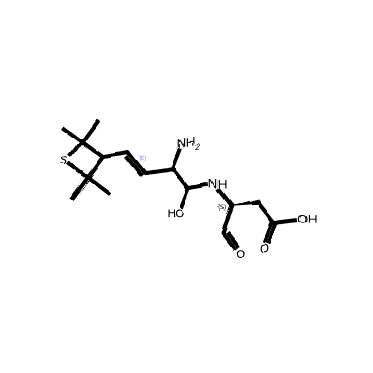 CC1(C)SC(C)(C)C1/C=C/C(N)C(O)N[C@H](C=O)CC(=O)O